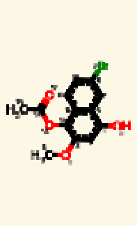 COc1cc(O)c2cc(Br)ccc2c1OC(C)=O